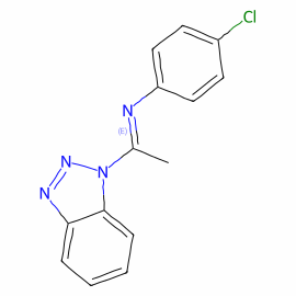 C/C(=N\c1ccc(Cl)cc1)n1nnc2ccccc21